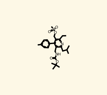 CCc1nc(CC(C)C)c(CNC(=O)OC(C)(C)C)c(-c2ccc(C)cc2)c1COS(C)(=O)=O